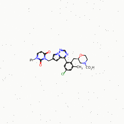 Cc1cc(Cl)cc(-c2ncnn3cc(Cn4c(=O)ccn(C(C)C)c4=O)cc23)c1C[C@@H]1CN(C(=O)O)CCO1